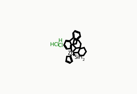 Cl.Cl.[SiH2]=[Zr]([C]1=CC=CC1)([c]1cccc2c1Cc1ccccc1-2)([CH]1CCCCC1)[CH]1CCCCC1